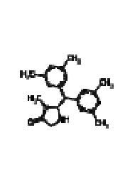 Cc1cc(C)cc(C(c2cc(C)cc(C)c2)C2NCC(=O)N2C)c1